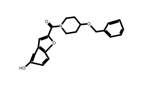 O=C(c1cc2cc(O)ccc2o1)N1CCC(OCc2ccccc2)CC1